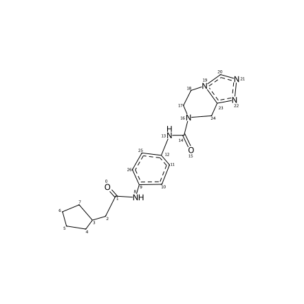 O=C(CC1CCCC1)Nc1ccc(NC(=O)N2CCn3cnnc3C2)cc1